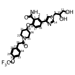 NC(=O)c1cc(-c2cn(CC(O)CO)cn2)ccc1OC1CCN(C(=O)Cc2ccc(OC(F)(F)F)cc2)CC1